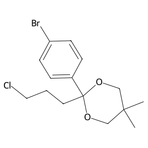 CC1(C)COC(CCCCl)(c2ccc(Br)cc2)OC1